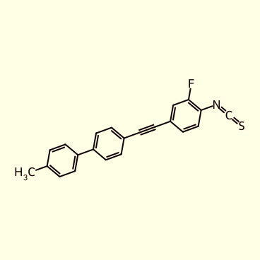 Cc1ccc(-c2ccc(C#Cc3ccc(N=C=S)c(F)c3)cc2)cc1